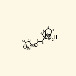 O=C(O)N1C2CCC1CC(CCOC1=NOCC1)C2